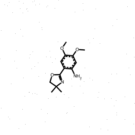 COc1cc(N)c(C2=NC(C)(C)CO2)cc1OC